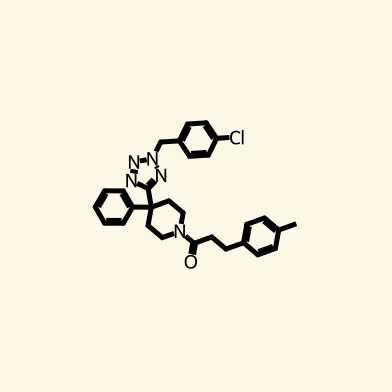 Cc1ccc(CCC(=O)N2CCC(c3ccccc3)(c3nnn(Cc4ccc(Cl)cc4)n3)CC2)cc1